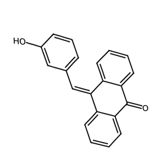 O=C1c2ccccc2C(=Cc2cccc(O)c2)c2ccccc21